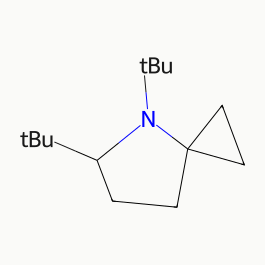 CC(C)(C)C1CCC2(CC2)N1C(C)(C)C